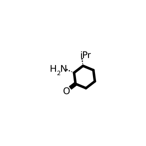 CC(C)[C@@H]1CCCC(=O)[C@@H]1N